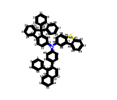 c1ccc(-c2c(-c3ccc(N(c4ccc5c(c4)C(c4ccccc4)(c4ccccc4)c4ccccc4-5)c4ccc5sc6ccccc6c5c4)cc3)ccc3ccccc23)cc1